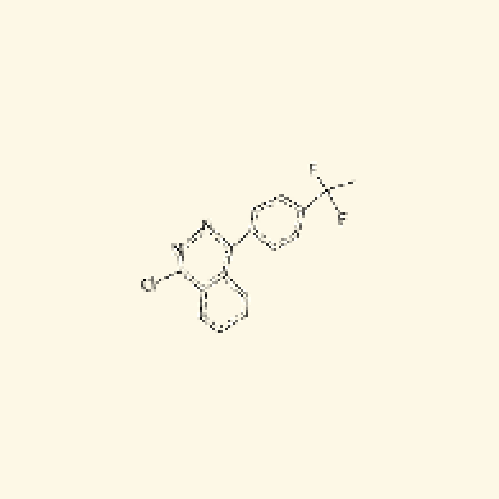 CC(F)(F)c1ccc(-c2nnc(Cl)c3ccccc23)cc1